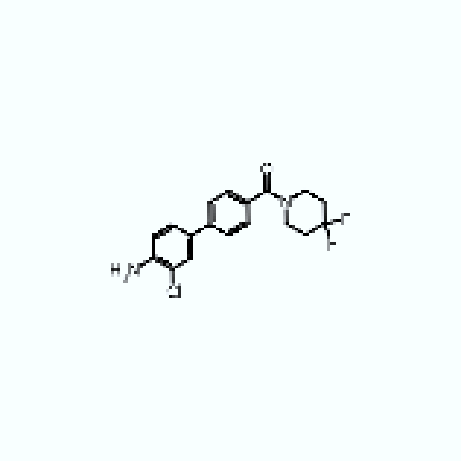 Nc1ccc(-c2ccc(C(=O)N3CCC(F)(F)CC3)cc2)cc1Cl